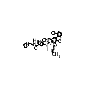 COCCOn1c(=O)c(-c2c(Cl)cccc2Cl)cc2cnc(Nc3cc(C(=O)NCCN4CCCC4)[nH]c3C)nc21